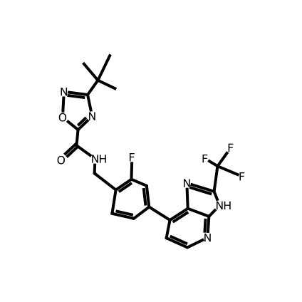 CC(C)(C)c1noc(C(=O)NCc2ccc(-c3ccnc4[nH]c(C(F)(F)F)nc34)cc2F)n1